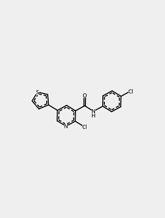 O=C(Nc1ccc(Cl)cc1)c1cc(-c2ccsc2)cnc1Cl